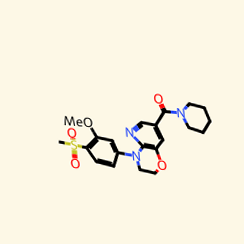 COc1cc(N2CCOc3cc(C(=O)N4CCCCC4)cnc32)ccc1S(C)(=O)=O